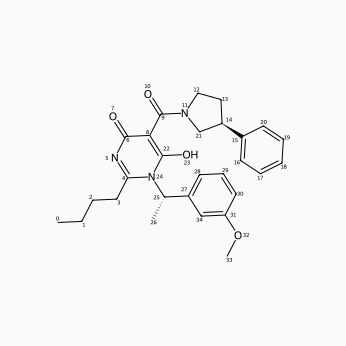 CCCCc1nc(=O)c(C(=O)N2CC[C@@H](c3ccccc3)C2)c(O)n1[C@@H](C)c1cccc(OC)c1